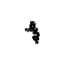 Cc1ccc(NC(=S)N/N=C\c2cccc(Br)n2)c(C)c1